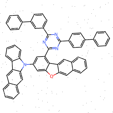 c1ccc(-c2ccc(-c3nc(-c4cccc(-c5ccccc5)c4)nc(-c4cc(-n5c6ccccc6c6cc7ccccc7cc65)cc5oc6cc7ccccc7cc6c45)n3)cc2)cc1